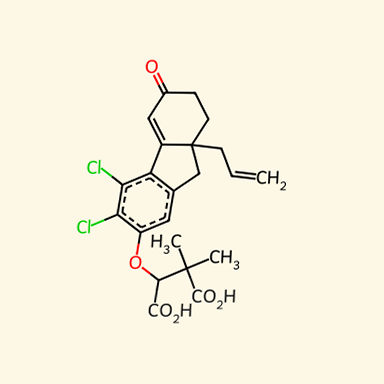 C=CCC12CCC(=O)C=C1c1c(cc(OC(C(=O)O)C(C)(C)C(=O)O)c(Cl)c1Cl)C2